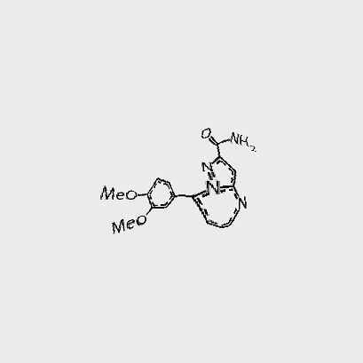 COc1ccc(-c2ccnc3cc(C(N)=O)nn23)cc1OC